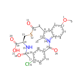 COc1ccc2c(c1)c(CC(=O)SC[C@@H](NC(C)=O)C(=O)O)c(C)n2C(=O)c1ccc(Cl)cc1